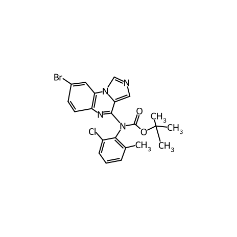 Cc1cccc(Cl)c1N(C(=O)OC(C)(C)C)c1nc2ccc(Br)cc2n2cncc12